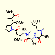 CC[C@H](C)[C@@H]([C@@H](CC(=O)N1CCC[C@H]1[C@H](OC)[C@@H](C)C(=O)NC)OC)N(C)C(=O)[C@@H](NC(=O)[C@H](C(C)C)N(C)CCCC(=O)O)C(C)C